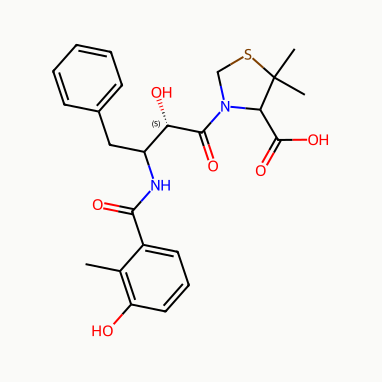 Cc1c(O)cccc1C(=O)NC(Cc1ccccc1)[C@H](O)C(=O)N1CSC(C)(C)C1C(=O)O